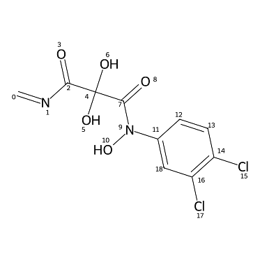 C=NC(=O)C(O)(O)C(=O)N(O)c1ccc(Cl)c(Cl)c1